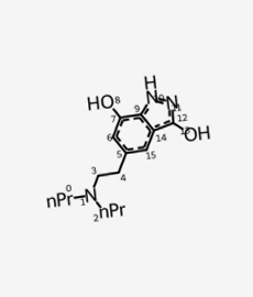 CCCN(CCC)CCc1cc(O)c2[nH]nc(O)c2c1